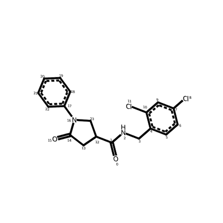 O=C(NCc1ccc(Cl)cc1Cl)C1CC(=O)N(c2ccccc2)C1